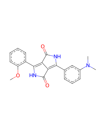 COc1ccccc1C1=C2C(=O)NC(c3cccc(N(C)C)c3)=C2C(=O)N1